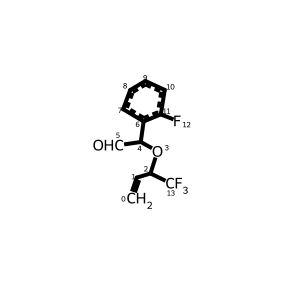 C=CC(OC(C=O)c1ccccc1F)C(F)(F)F